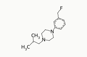 C[C](C)CN1CCN(c2cccc(CF)c2)CC1